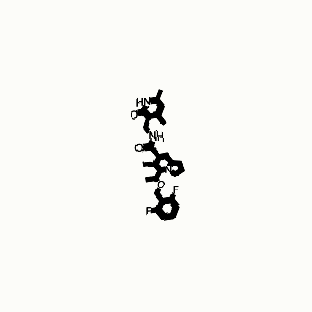 Cc1cc(C)c(CNC(=O)c2cc3cccn3c(C(C)OCc3c(F)cccc3F)c2C)c(=O)[nH]1